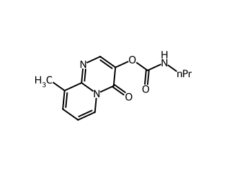 CCCNC(=O)Oc1cnc2c(C)cccn2c1=O